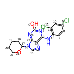 Oc1nc(Nc2ccc(Cl)cc2Cl)c2ncn(C3CCCCO3)c2n1